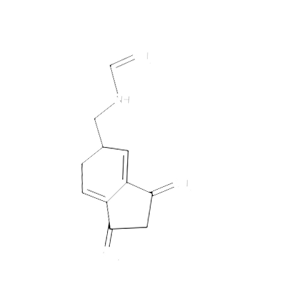 C=CNCC1C=C2C(=C)CC(=C)C2=CC1